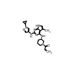 C=CC(=O)N1CCC[C@@H](Nc2nc(Nc3cnn(C4CC4)c3)nc3[nH]cc(C)c23)C1